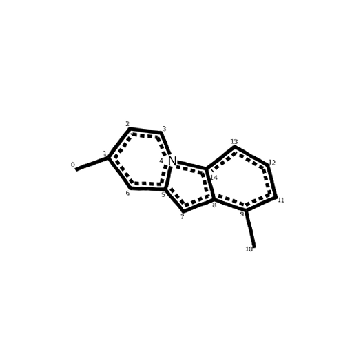 Cc1ccn2c(c1)cc1c(C)cccc12